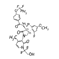 COc1cc(F)c([C@@H]2CN(c3c(C)ccn(C(F)(F)CO)c3=O)C(=O)[C@H]2CC(=O)c2ccc(OC(F)(F)P)cc2)c(P)c1